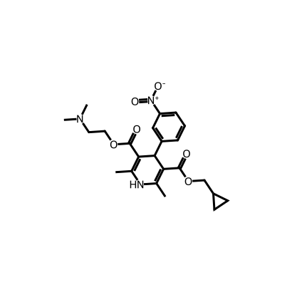 CC1=C(C(=O)OCCN(C)C)C(c2cccc([N+](=O)[O-])c2)C(C(=O)OCC2CC2)=C(C)N1